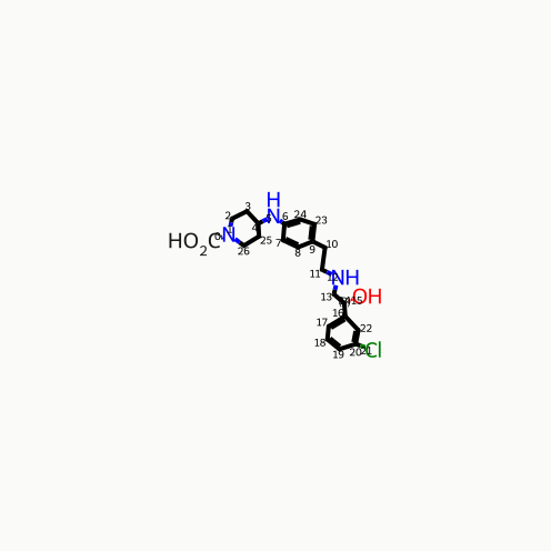 O=C(O)N1CCC(Nc2ccc(CCNC[C@H](O)c3cccc(Cl)c3)cc2)CC1